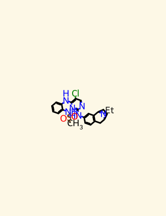 CCN1C2CCC1c1cc(Nc3ncc(Cl)c(Nc4ccccc4NS(C)(=O)=O)n3)ccc1C2